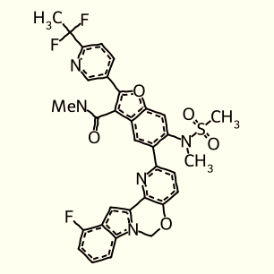 CNC(=O)c1c(-c2ccc(C(C)(F)F)nc2)oc2cc(N(C)S(C)(=O)=O)c(-c3ccc4c(n3)-c3cc5c(F)cccc5n3CO4)cc12